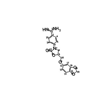 N=C(N)c1ccc(N2CC(COc3ccc4c(c3)OCO4)OC2=O)cc1